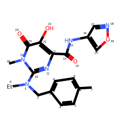 CCN(Cc1ccc(C)cc1)c1nc(C(=O)Nc2cnoc2)c(O)c(=O)n1C